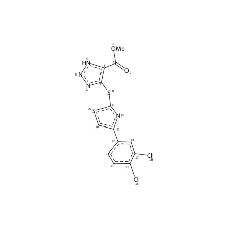 COC(=O)c1[nH]nnc1Sc1nc(-c2ccc(Cl)c(Cl)c2)cs1